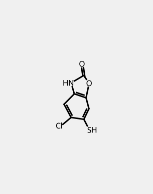 O=c1[nH]c2cc(Cl)c(S)cc2o1